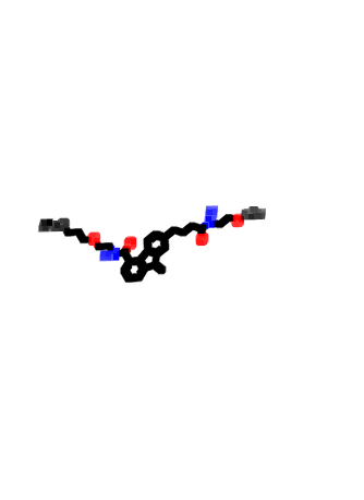 C=C1c2cc(CCCC(=O)NCCOCCCC)ccc2-c2c1cccc2C(=O)NCCOCCCOC